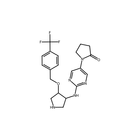 O=C1CCCN1c1cnc(NC2CNCC2OCc2ccc(C(F)(F)F)cc2)nc1